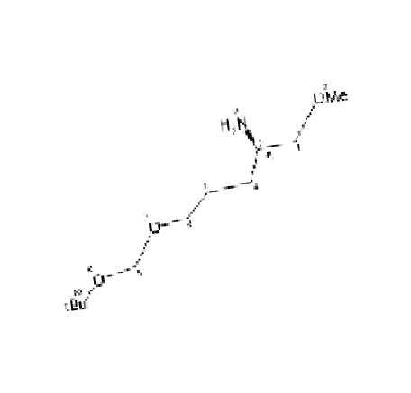 COC[C@H](N)CCCOCOC(C)(C)C